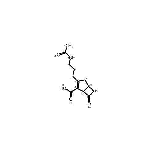 CC(=O)NCCSC1=C(C(=O)O)C2C(=O)CC2C1